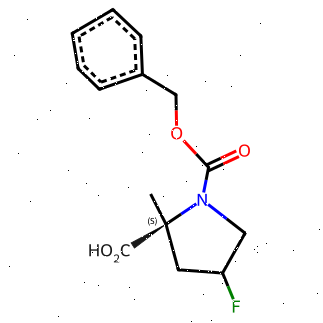 C[C@@]1(C(=O)O)CC(F)CN1C(=O)OCc1ccccc1